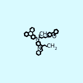 C=C/C=c1\c2n(c3ccc(N(/C(C=C)=C/C=C/c4ccc5c(c4)oc4ccccc45)c4ccc5c(c4)C4C=CC=CC4c4ccccc4-5)cc13)C1CC=CC=C1C=2